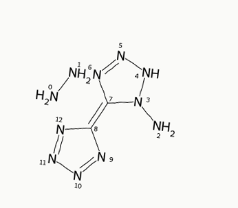 NN.NN1NN=NC1=C1N=NN=N1